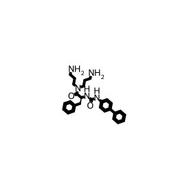 NCCCN(CCCN)C(=O)[C@H](Cc1ccccc1)NC(=O)Nc1ccc(-c2ccccc2)cc1